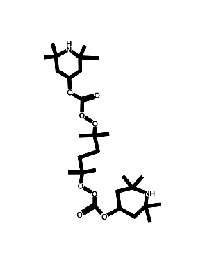 CC1(C)CC(OC(=O)OOC(C)(C)CCC(C)(C)OOC(=O)OC2CC(C)(C)NC(C)(C)C2)CC(C)(C)N1